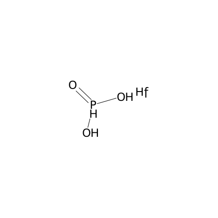 O=[PH](O)O.[Hf]